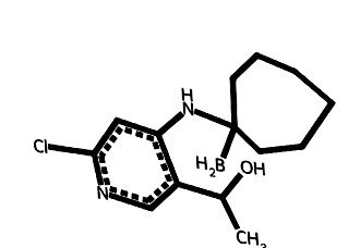 BC1(Nc2cc(Cl)ncc2C(C)O)CCCCCC1